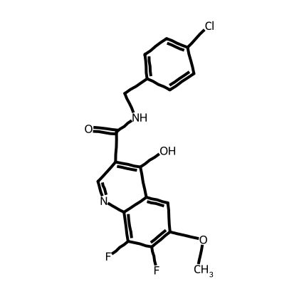 COc1cc2c(O)c(C(=O)NCc3ccc(Cl)cc3)cnc2c(F)c1F